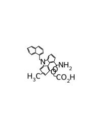 Cc1cc(OCC(=O)O)c2c3c(C(N)=O)cccc3n(Cc3cccc4ccccc34)c2c1